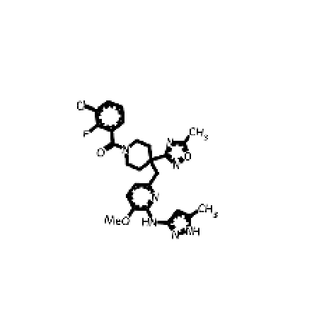 COc1ccc(CC2(c3noc(C)n3)CCN(C(=O)c3cccc(Cl)c3F)CC2)nc1Nc1cc(C)[nH]n1